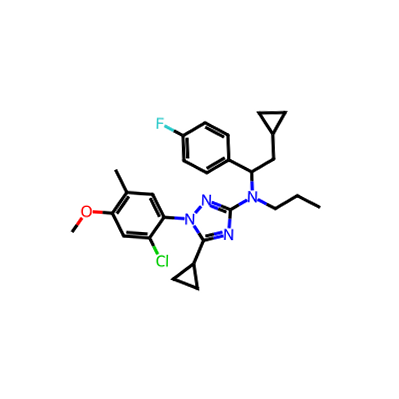 CCCN(c1nc(C2CC2)n(-c2cc(C)c(OC)cc2Cl)n1)C(CC1CC1)c1ccc(F)cc1